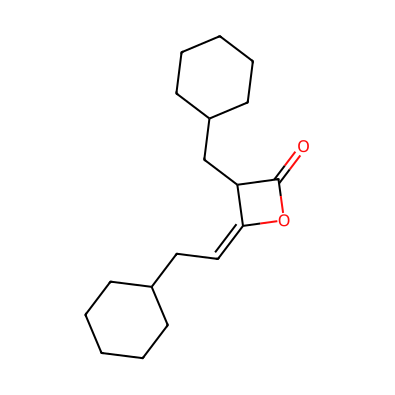 O=C1OC(=CCC2CCCCC2)C1CC1CCCCC1